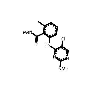 CNC(=O)c1c(C)cccc1Nc1nc(NC)ncc1Cl